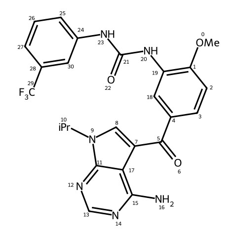 COc1ccc(C(=O)c2cn(C(C)C)c3ncnc(N)c23)cc1NC(=O)Nc1cccc(C(F)(F)F)c1